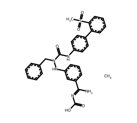 C.CS(=O)(=O)c1ccccc1-c1ccc(NC(=O)N(Cc2ccccc2)Nc2cccc(C(N)=NC(=O)O)c2)cc1